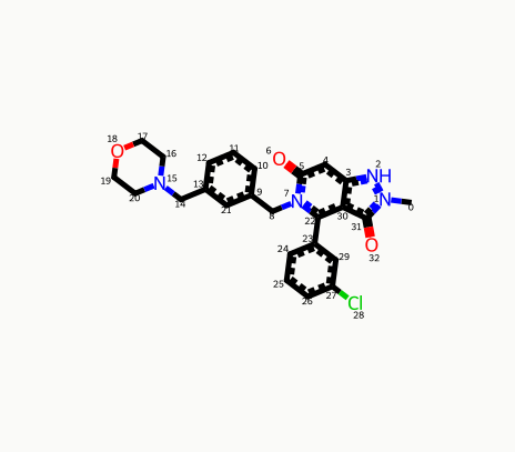 Cn1[nH]c2cc(=O)n(Cc3cccc(CN4CCOCC4)c3)c(-c3cccc(Cl)c3)c2c1=O